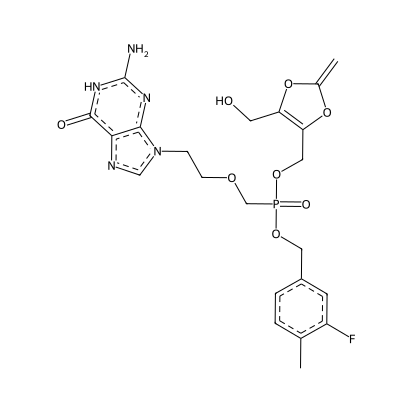 C=C1OC(CO)=C(COP(=O)(COCCn2cnc3c(=O)[nH]c(N)nc32)OCc2ccc(C)c(F)c2)O1